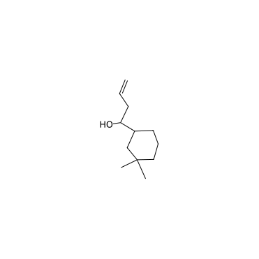 C=CCC(O)C1CCCC(C)(C)C1